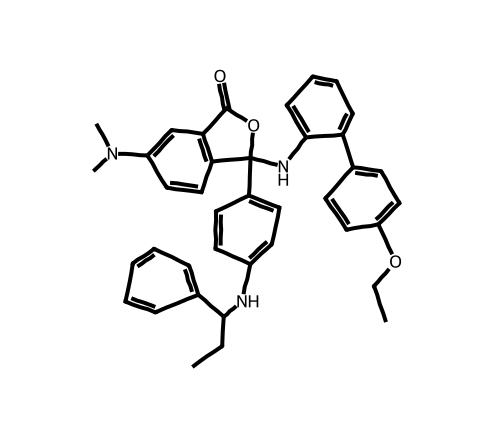 CCOc1ccc(-c2ccccc2NC2(c3ccc(NC(CC)c4ccccc4)cc3)OC(=O)c3cc(N(C)C)ccc32)cc1